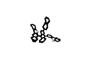 C1=CC2Oc3c(cc4ccccc4c3-c3c4ccccc4c(-c4ccc5c(c4)oc4ccccc45)c4cc(-c5ccc6ccccc6c5)ccc34)C2C=C1